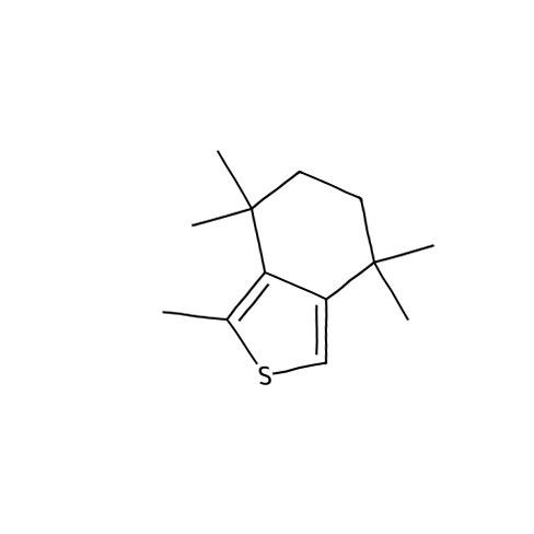 Cc1scc2c1C(C)(C)CCC2(C)C